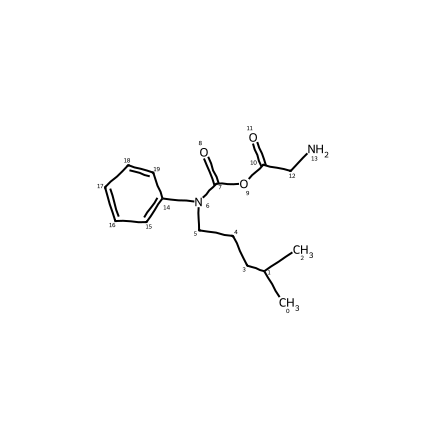 CC(C)CCCN(C(=O)OC(=O)CN)c1ccccc1